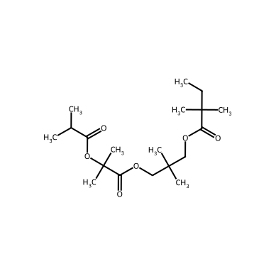 CCC(C)(C)C(=O)OCC(C)(C)COC(=O)C(C)(C)OC(=O)C(C)C